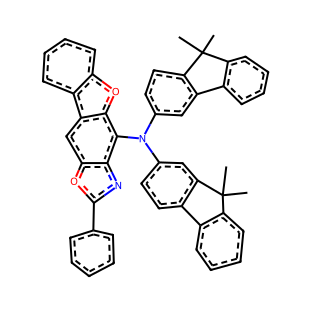 CC1(C)c2ccccc2-c2cc(N(c3ccc4c(c3)C(C)(C)c3ccccc3-4)c3c4nc(-c5ccccc5)oc4cc4c3oc3ccccc34)ccc21